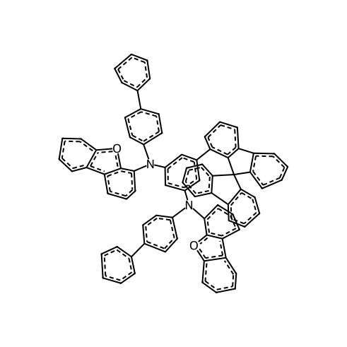 c1ccc(-c2ccc(N(c3cc(-c4cccc5c4C4(c6ccccc6-c6ccccc64)c4ccccc4-5)cc(N(c4ccc(-c5ccccc5)cc4)c4cccc5c4oc4ccccc45)c3)c3cccc4c3oc3ccccc34)cc2)cc1